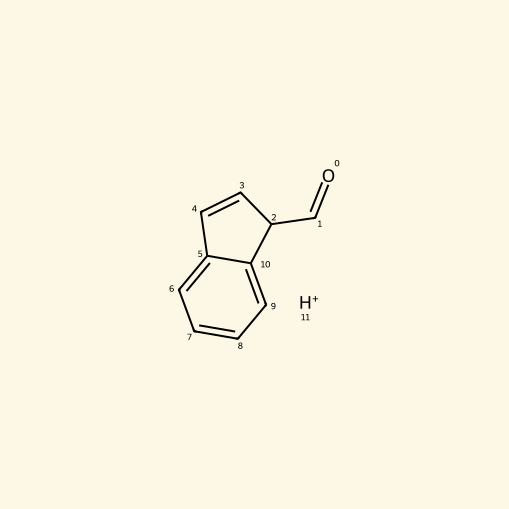 O=CC1C=Cc2ccccc21.[H+]